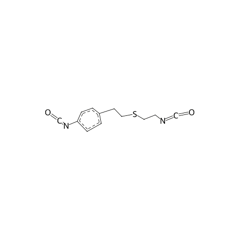 O=C=NCCSCCc1ccc(N=C=O)cc1